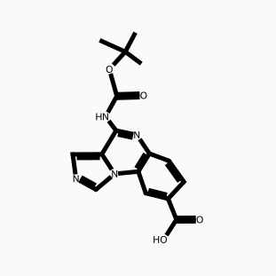 CC(C)(C)OC(=O)Nc1nc2ccc(C(=O)O)cc2n2cncc12